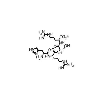 N=C(N)NCCC[C@H](NC(=O)[C@H](CO)NC(=O)[C@H](CCCNC(=N)N)NC(=O)[C@@H](N)Cc1c[nH]cn1)C(=O)O